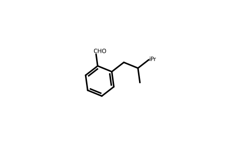 CC(C)C(C)Cc1ccccc1C=O